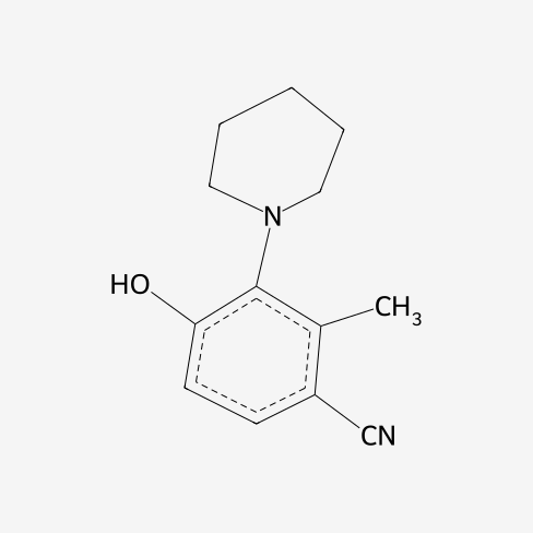 Cc1c(C#N)ccc(O)c1N1CCCCC1